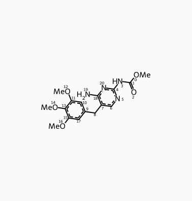 COC(=O)Nc1ncc(Cc2cc(OC)c(OC)c(OC)c2)c(N)n1